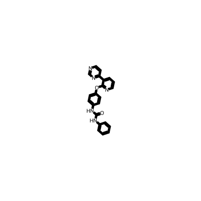 O=C(Nc1ccccc1)Nc1ccc(Oc2ncccc2-c2ccncn2)cc1